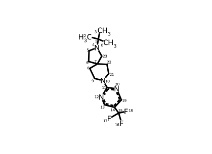 CC(C)(C)N1CCC2(CCN(c3ncc(C(F)(F)F)cn3)CC2)C1